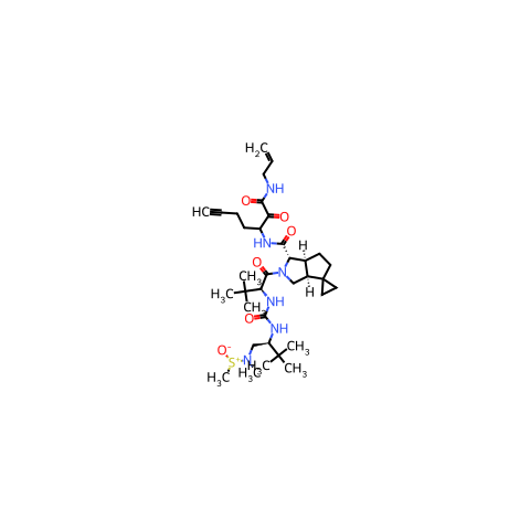 C#CCCC(NC(=O)[C@@H]1[C@H]2CCC3(CC3)[C@H]2CN1C(=O)[C@@H](NC(=O)N[C@H](CN(C)[S+](C)[O-])C(C)(C)C)C(C)(C)C)C(=O)C(=O)NCC=C